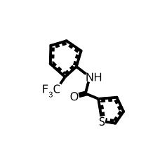 O=C(Nc1ccccc1C(F)(F)F)c1cccs1